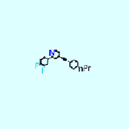 CCC[C@H]1CC[C@H](C#Cc2ccnc(-c3ccc(F)c(F)c3)c2)CC1